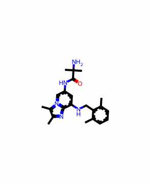 Cc1cccc(C)c1CNc1cc(NC(=O)C(C)(C)N)cn2c(C)c(C)nc12